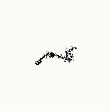 Cc1cc(OCCCC(=O)NCCNC(=O)[C@H](CS(=O)(=O)O)NC(=O)CC[C@H](C(=O)O)N(CCNCC(=O)O)CCN(C)CC(=O)O)cc(C)c1S(=O)(=O)N[C@@H](CNC(=O)CCCCc1ccc2c(n1)NCCC2)C(=O)O